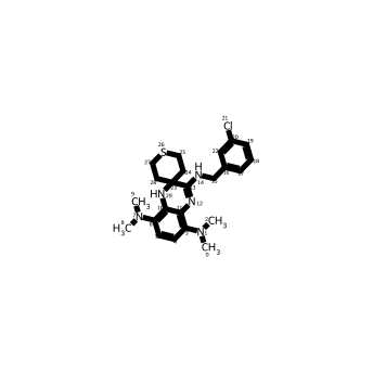 CN(C)c1ccc(N(C)C)c2c1N=C(NCc1cccc(Cl)c1)C1(CCSCC1)N2